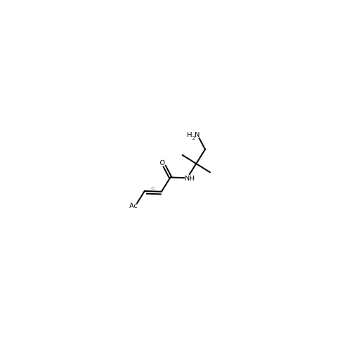 CC(=O)/C=C/C(=O)NC(C)(C)CN